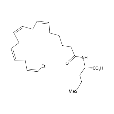 CC/C=C\C/C=C\C/C=C\C/C=C\CCCCC(=O)N[C@@H](CCSC)C(=O)O